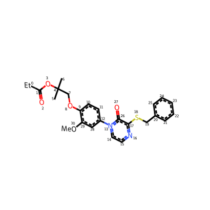 CCC(=O)OC(C)(C)COc1ccc(-n2ccnc(SCc3ccccc3)c2=O)cc1OC